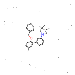 Cc1ccc(OCc2ccccc2)c(-c2cccc(N3CC4(C)CC4(C)C3)c2)c1